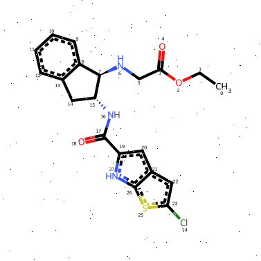 CCOC(=O)CN[C@@H]1c2ccccc2C[C@H]1NC(=O)c1cc2cc(Cl)sc2[nH]1